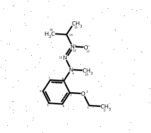 CCOc1ccccc1N(C)N=[N+]([O-])C(C)C